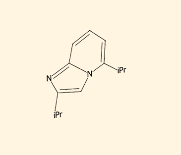 CC(C)c1cn2c(C(C)C)cccc2n1